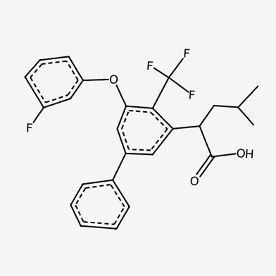 CC(C)CC(C(=O)O)c1cc(-c2ccccc2)cc(Oc2cccc(F)c2)c1C(F)(F)F